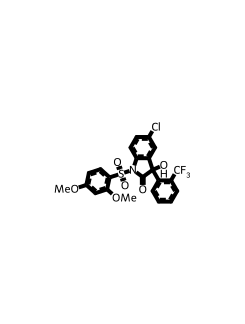 COc1ccc(S(=O)(=O)N2C(=O)C(O)(c3ccccc3C(F)(F)F)c3cc(Cl)ccc32)c(OC)c1